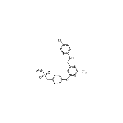 CCc1cnc(NCc2cc(Oc3ccc(CS(=O)(=O)NC)cc3)nc(C(F)(F)F)n2)nc1